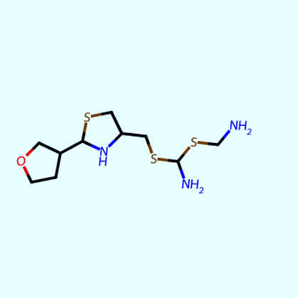 NCSC(N)SCC1CSC(C2CCOC2)N1